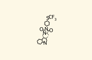 Cc1cnc2ccccc2c1CN1C(=O)N(c2ccc(SC(F)(F)F)cc2)C(=O)C1C